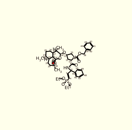 CCOP(=O)(/C=C/C(NC(=O)[C@@H]1C[C@@H](O[C@H]2O[C@@H]3O[C@@]4(C)CC[C@H]5[C@H](C)CC[C@@H]([C@H]2C)[C@@]35OO4)CN1C(=O)OCc1ccccc1)c1ccccc1)OCC